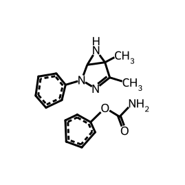 CC1=NN(c2ccccc2)C2NC12C.NC(=O)Oc1ccccc1